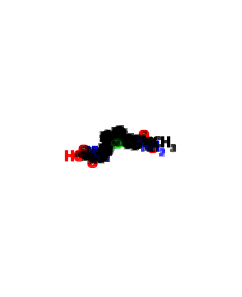 CC(=O)CC(N)C(=O)N1CCc2ccc(-c3cccc(-c4cccc(-c5ccc6c(c5)CN(C(=O)C(N)CC(=O)O)CC6)c4Cl)c3Cl)cc2C1